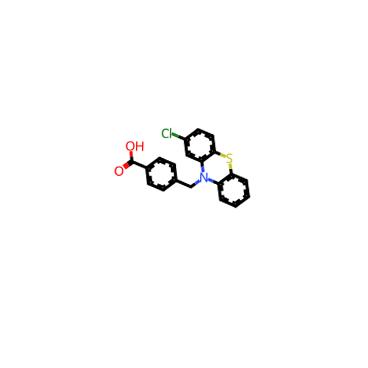 O=C(O)c1ccc(CN2c3ccccc3Sc3ccc(Cl)cc32)cc1